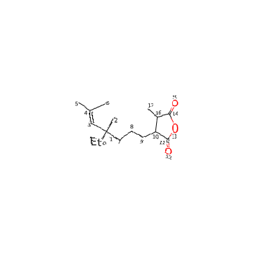 CCC(C)(C=C(C)C)CCCC1C(=O)OC(=O)C1C